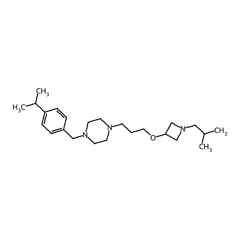 CC(C)CN1CC(OCCCN2CCN(Cc3ccc(C(C)C)cc3)CC2)C1